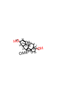 COC1=C2[C@@H](CC[C@]3(C)C(O)CC[C@@H]23)[C@@]2(C)C=CC(O)CC2C1